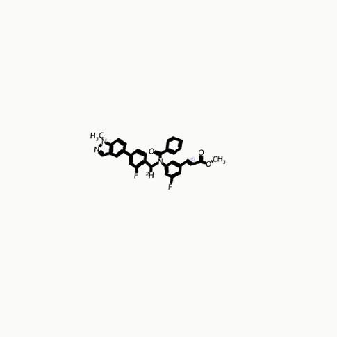 [2H]C(c1ccc(-c2ccc3c(cnn3C)c2)cc1F)N(C(=O)c1ccccc1)c1cc(F)cc(/C=C/C(=O)OC)c1